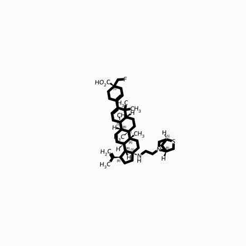 C=C(C)[C@@H]1CC[C@]2(NCCN3C[C@@H]4C[C@@H]3CS4)CC[C@]3(C)[C@H](CC[C@@H]4[C@@]5(C)CC=C(C6=CC[C@](CF)(C(=O)O)CC6)C(C)(C)[C@@H]5CC[C@]43C)[C@@H]12